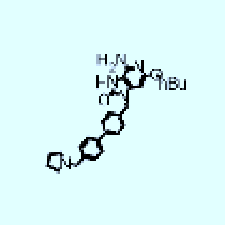 CCCCOc1cc2c([nH]c(=O)n2Cc2ccc(-c3ccc(CN4CCCC4)cc3)cc2)c(N)n1